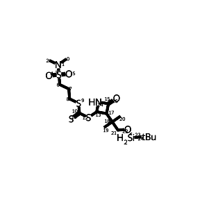 CN(C)S(=O)(=O)CCCSC(=S)SC1NC(=O)C1C(C)(C)CO[SiH2]C(C)(C)C